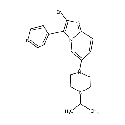 CC(C)N1CCN(c2ccc3nc(Br)c(-c4ccncc4)n3n2)CC1